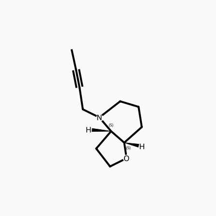 CC#CCN1CCC[C@@H]2OCC[C@@H]21